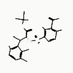 CC(=O)c1c(Cl)ccc(S(=O)(=O)N[C@H](C(=O)OC(C)(C)C)C(C)c2c(F)ccc(C)c2C)c1O